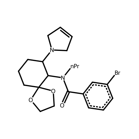 CCCN(C(=O)c1cccc(Br)c1)C1C(N2CC=CC2)CCCC12OCCO2